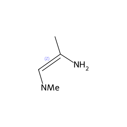 CN/C=C(/C)N